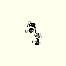 S=C(NCCc1ncc[nH]1)NCCN(Cc1ccc(Cl)c(Cl)c1)c1ccc(Br)cn1